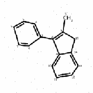 CC1=C(c2ccccc2)c2ccccc2C1